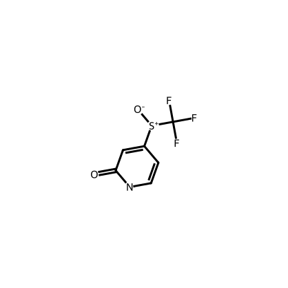 O=C1C=C([S+]([O-])C(F)(F)F)C=C[N]1